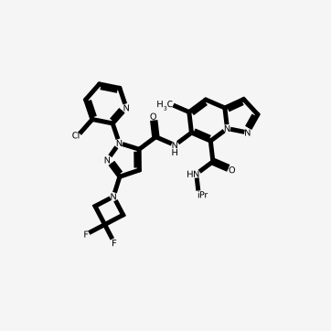 Cc1cc2ccnn2c(C(=O)NC(C)C)c1NC(=O)c1cc(N2CC(F)(F)C2)nn1-c1ncccc1Cl